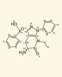 CCN1C(=O)[C@@H](N)[C@H](c2ccccc2C(=O)O)c2cnn(-c3ccccc3)c21